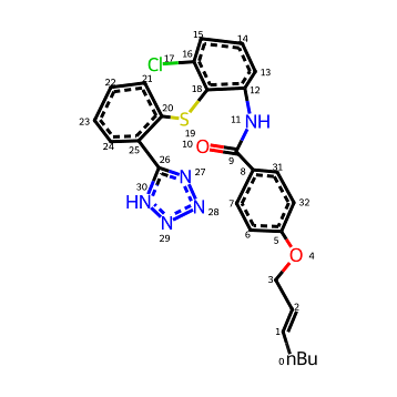 CCCCC=CCOc1ccc(C(=O)Nc2cccc(Cl)c2Sc2ccccc2-c2nnn[nH]2)cc1